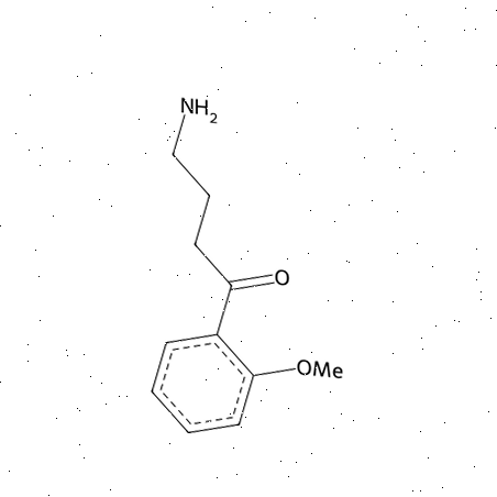 COc1ccccc1C(=O)CCCN